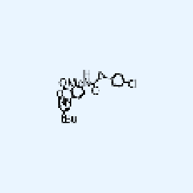 COC(=O)c1cc(NC(=O)C2CC2c2ccc(Cl)cc2)ccc1-n1cc(C(C)(C)C)cn1